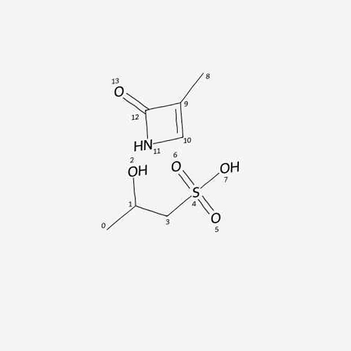 CC(O)CS(=O)(=O)O.CC1=CNC1=O